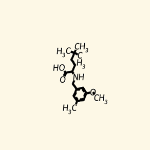 COc1cc(C)cc(CNC(CCC(C)(C)C)C(=O)O)c1